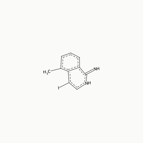 Cc1cccc2c(=N)[nH]cc(I)c12